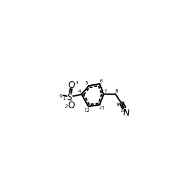 CS(=O)(=O)c1ccc(CC#N)cc1